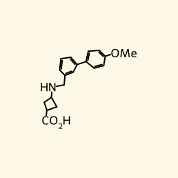 COc1ccc(-c2cccc(CNC3CC(C(=O)O)C3)c2)cc1